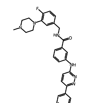 CN1CCN(c2cc(CNC(=O)c3cccc(Nc4ccc(-c5ccccc5)nn4)c3)ccc2F)CC1